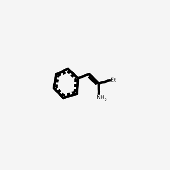 CCC(N)=Cc1ccccc1